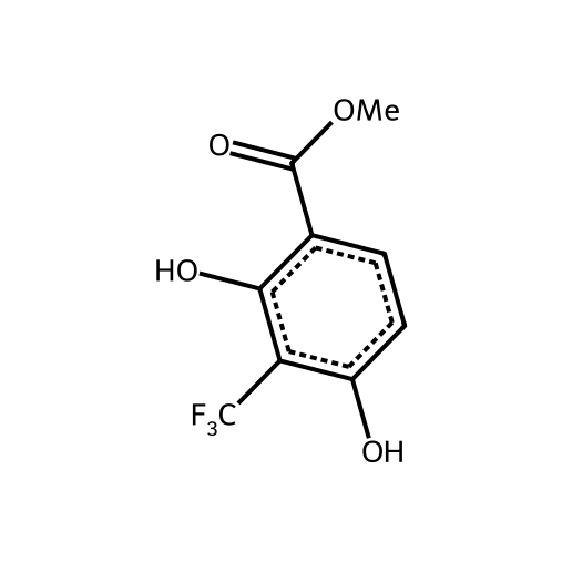 COC(=O)c1ccc(O)c(C(F)(F)F)c1O